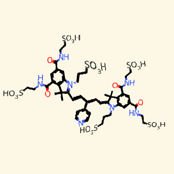 CC1(C)C(/C=C/C(=C/C=C2/N(CCCS(=O)(=O)O)c3cc(C(=O)NCCS(=O)(=O)O)cc(C(=O)NCCS(=O)(=O)O)c3C2(C)C)c2ccncc2)=[N+](CCCS(=O)(=O)O)c2cc(C(=O)NCCS(=O)(=O)O)cc(C(=O)NCCS(=O)(=O)O)c21